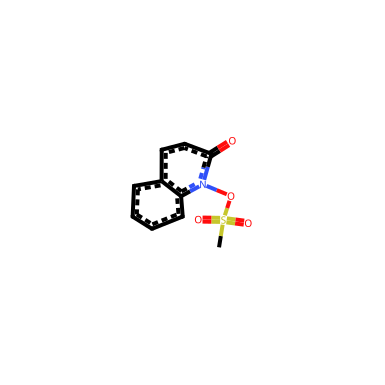 CS(=O)(=O)On1c(=O)ccc2ccccc21